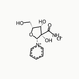 NC(=O)[C@]1(O)[C@@H](O)[C@@H](CO)O[C@H]1[n+]1ccccc1.[Cl-]